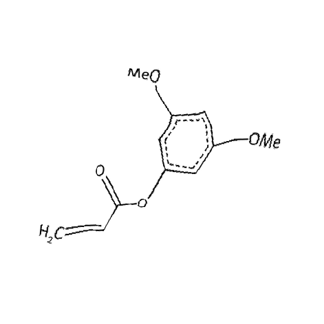 C=CC(=O)Oc1cc(OC)cc(OC)c1